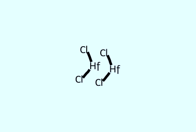 [Cl][Hf][Cl].[Cl][Hf][Cl]